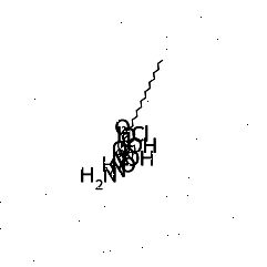 CCCCCCCCCCCCCCCC(=O)OC[C@H]1O[C@@H](n2cc(I)c(N)nc2=O)[C@@H](O)[C@@H]1O.Cl